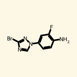 Nc1ccc(-n2cnc(Br)n2)cc1F